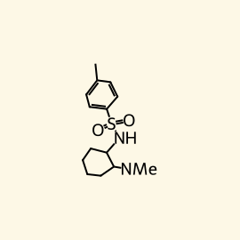 CNC1CCCCC1NS(=O)(=O)c1ccc(C)cc1